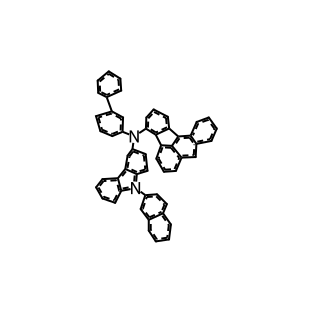 c1ccc(-c2cccc(N(c3ccc4c(c3)c3ccccc3n4-c3ccc4ccccc4c3)c3cccc4c3-c3cccc5cc6ccccc6c-4c35)c2)cc1